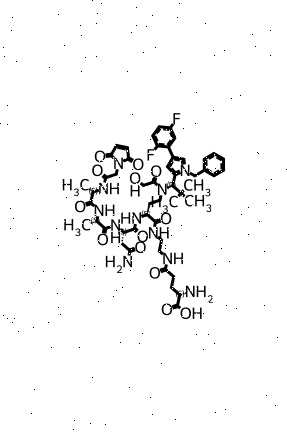 C[C@H](NC(=O)CN1C(=O)C=CC1=O)C(=O)N[C@@H](C)C(=O)N[C@@H](CC(N)=O)C(=O)N[C@@H](CCN(C(=O)CO)[C@@H](c1cc(-c2cc(F)ccc2F)cn1Cc1ccccc1)C(C)(C)C)C(=O)NCCNC(=O)CC[C@H](N)C(=O)O